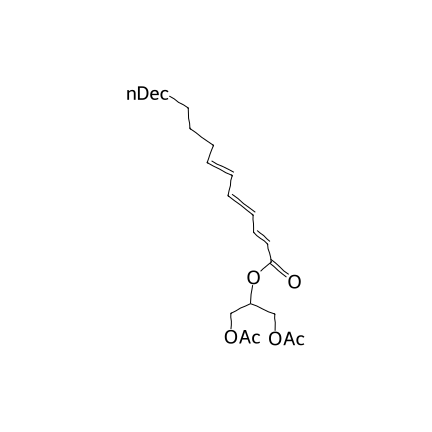 CCCCCCCCCCCCCC=CC=CC=CC(=O)OC(COC(C)=O)COC(C)=O